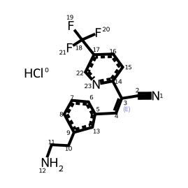 Cl.N#C/C(=C/c1cccc(CCN)c1)c1ccc(C(F)(F)F)cn1